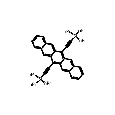 CCC[Si](C#Cc1c2cc3ccccc3cc2c(C#C[Si](CCC)(CCC)CCC)c2cc3ccccc3cc12)(CCC)CCC